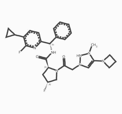 CN1NN(CC(=O)N2C[C@H](F)C[C@H]2C(=O)N[C@@H](c2ccccc2)c2ccc(C3CC3)c(F)n2)C=C1N1CCC1